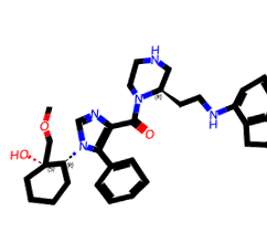 COC[C@]1(O)CCCC[C@H]1n1cnc(C(=O)N2CCNC[C@H]2CCNc2cccc3c2CCC3)c1-c1ccccc1